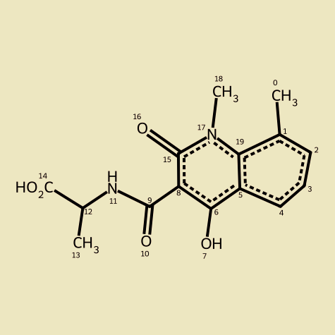 Cc1cccc2c(O)c(C(=O)NC(C)C(=O)O)c(=O)n(C)c12